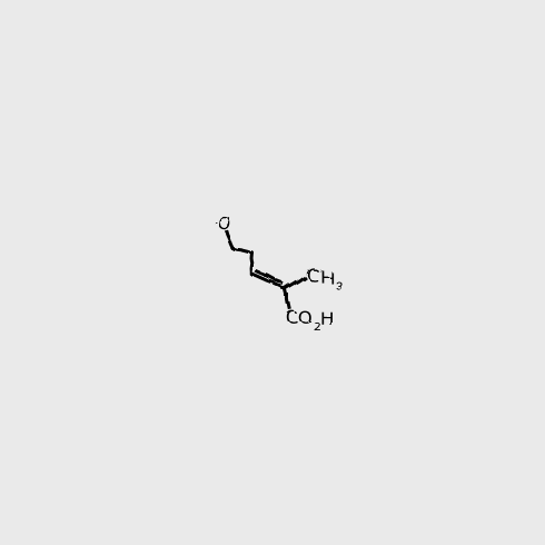 CC(=CCC[O])C(=O)O